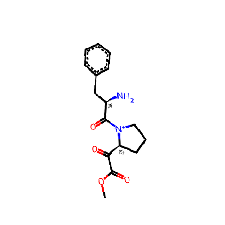 COC(=O)C(=O)[C@@H]1CCC[N+]1C(=O)[C@H](N)Cc1ccccc1